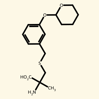 CC(N)(CSCc1cccc(OC2CCCCO2)c1)C(=O)O